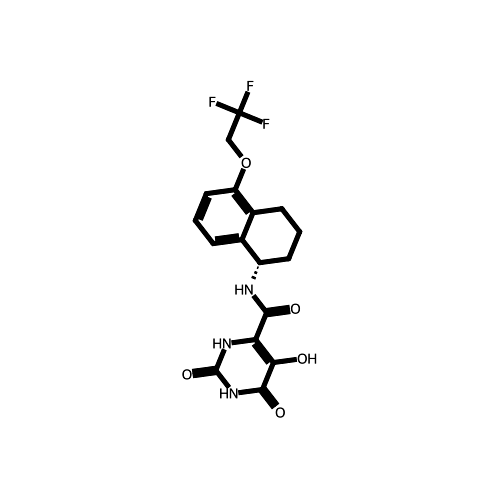 O=C(N[C@H]1CCCc2c(OCC(F)(F)F)cccc21)c1[nH]c(=O)[nH]c(=O)c1O